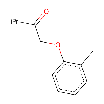 Cc1ccccc1OCC(=O)C(C)C